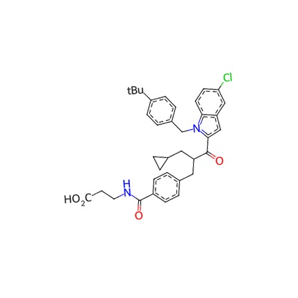 CC(C)(C)c1ccc(Cn2c(C(=O)C(Cc3ccc(C(=O)NCCC(=O)O)cc3)CC3CC3)cc3cc(Cl)ccc32)cc1